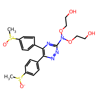 C[S+]([O-])c1ccc(-c2nnc(N(OCCO)OCCO)nc2-c2ccc([S+](C)[O-])cc2)cc1